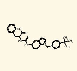 CC(C)(C)c1ccc(Cn2ccc3cc(NC(=O)NC(Cc4ccccc4)C(=O)O)ccc32)cc1